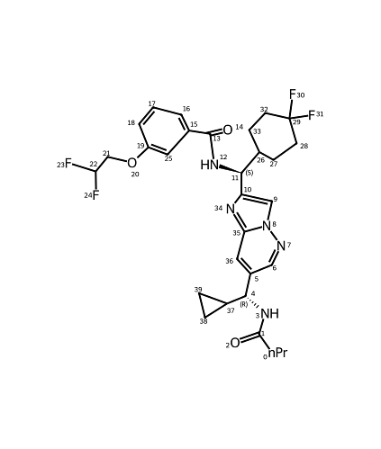 CCCC(=O)N[C@@H](c1cnn2cc([C@@H](NC(=O)c3cccc(OCC(F)F)c3)C3CCC(F)(F)CC3)nc2c1)C1CC1